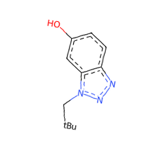 CC(C)(C)Cn1nnc2ccc(O)cc21